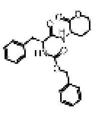 O=C(N[C@@H](Cc1ccccc1)C(=O)N[C@H]1CCCOC1=O)OCc1ccccc1